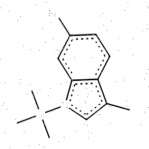 C[Si](C)(C)n1cc(I)c2ccc(Br)cc21